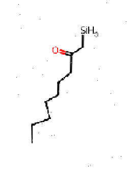 CCCCCCCC(=O)C[SiH3]